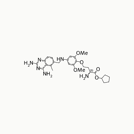 COc1cc(NCc2ccc3nc(N)nc(N)c3c2C)cc(OC)c1OCC[C@H](N)C(=O)OC1CCCC1